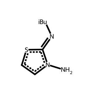 CCC(C)/N=c1\sccn1N